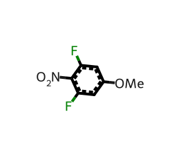 COc1cc(F)c([N+](=O)[O-])c(F)c1